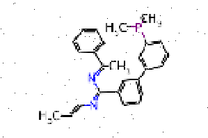 C/C=C/N=C(\N=C(/C)c1ccccc1)c1cccc(-c2cccc(P(C)C)c2)c1